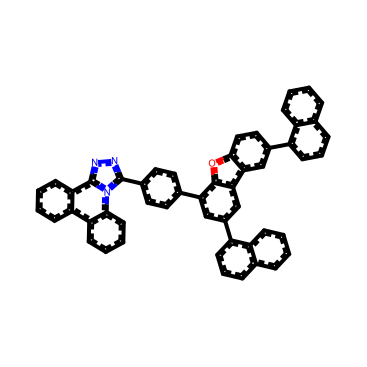 c1ccc2c(-c3ccc4oc5c(-c6ccc(-c7nnc8c9ccccc9c9ccccc9n78)cc6)cc(-c6cccc7ccccc67)cc5c4c3)cccc2c1